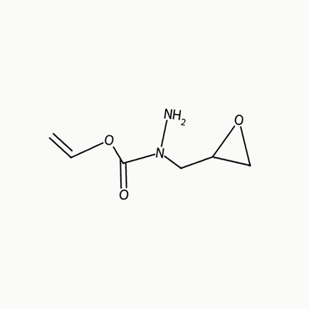 C=COC(=O)N(N)CC1CO1